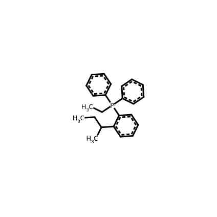 CCC(C)c1ccccc1[P](CC)(c1ccccc1)c1ccccc1